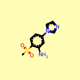 CS(=O)(=O)c1ccc(-n2ccnc2)cc1N